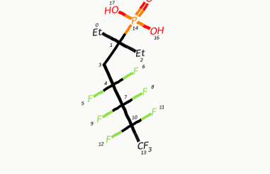 CCC(CC)(CC(F)(F)C(F)(F)C(F)(F)C(F)(F)F)P(=O)(O)O